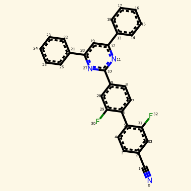 N#Cc1ccc(-c2ccc(-c3nc(-c4ccccc4)cc(-c4ccccc4)n3)cc2F)c(F)c1